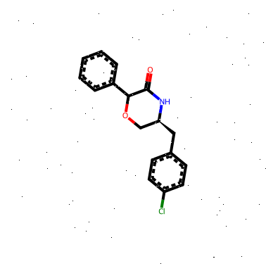 O=C1N[C@@H](Cc2ccc(Cl)cc2)COC1c1ccccc1